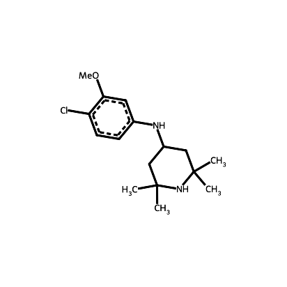 COc1cc(NC2CC(C)(C)NC(C)(C)C2)ccc1Cl